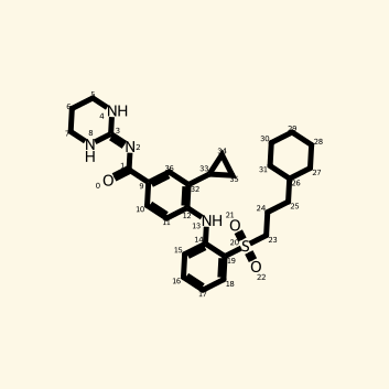 O=C(N=C1NCCCN1)c1ccc(Nc2ccccc2S(=O)(=O)CCCC2CCCCC2)c(C2CC2)c1